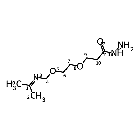 CC(C)=NCOCCOCCC(=O)NN